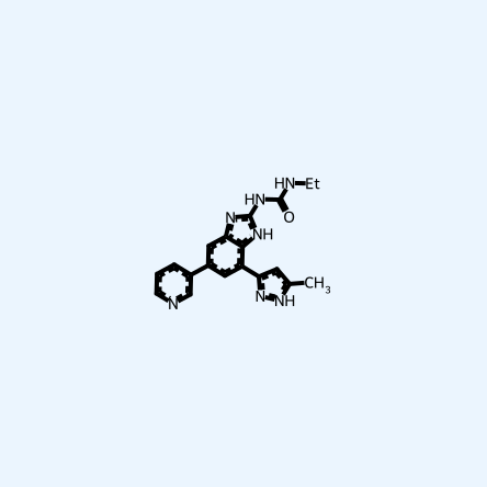 CCNC(=O)Nc1nc2cc(-c3cccnc3)cc(-c3cc(C)[nH]n3)c2[nH]1